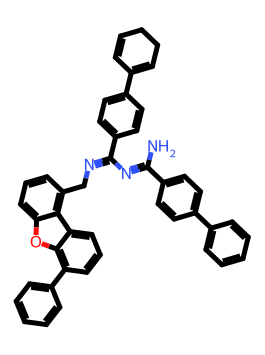 N/C(=N\C(=N/Cc1cccc2oc3c(-c4ccccc4)cccc3c12)c1ccc(C2=CCCC=C2)cc1)c1ccc(-c2ccccc2)cc1